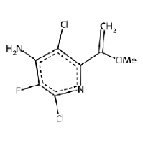 C=C(OC)c1nc(Cl)c(F)c(N)c1Cl